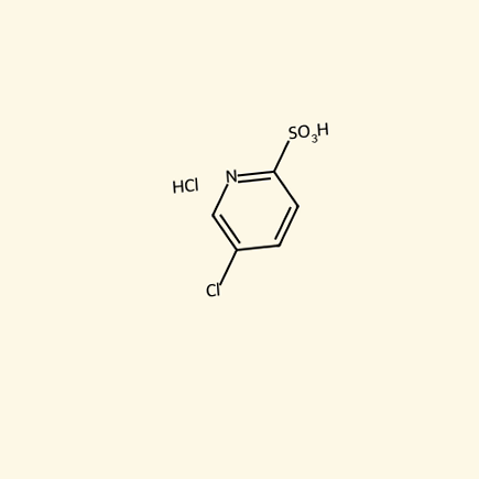 Cl.O=S(=O)(O)c1ccc(Cl)cn1